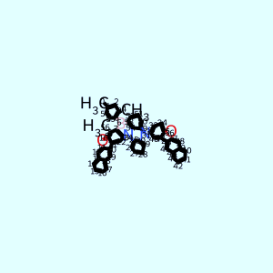 Cc1cc(C)c(B2c3cc4oc5cc6ccccc6cc5c4cc3N3c4ccccc4N(c4ccc5oc6cc7ccccc7cc6c5c4)c4cccc2c43)c(C)c1